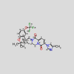 Cc1cn(-c2ccc3n(c2=O)CCN(C[C@@]24C[C@@H]2C(C)(C)Oc2ccc(OC(F)(F)F)cc24)C3=O)cn1